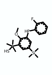 COc1c(Pc2ccccc2F)cc([Si](C)(C)C)cc1I(C)(C)(C)S